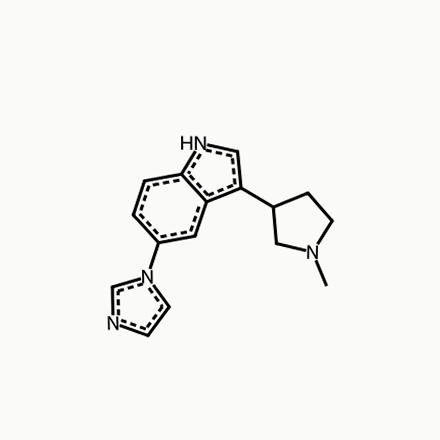 CN1CCC(c2c[nH]c3ccc(-n4ccnc4)cc23)C1